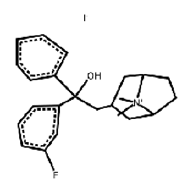 C[N+]1(C)C2CCC1CC(CC(O)(c1ccccc1)c1cccc(F)c1)C2.[I-]